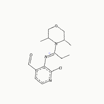 CC/C(=N\c1c(C=O)ccnc1Cl)N1C(C)COCC1C